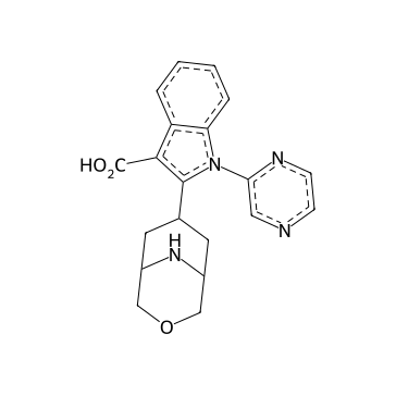 O=C(O)c1c(C2CC3COCC(C2)N3)n(-c2cnccn2)c2ccccc12